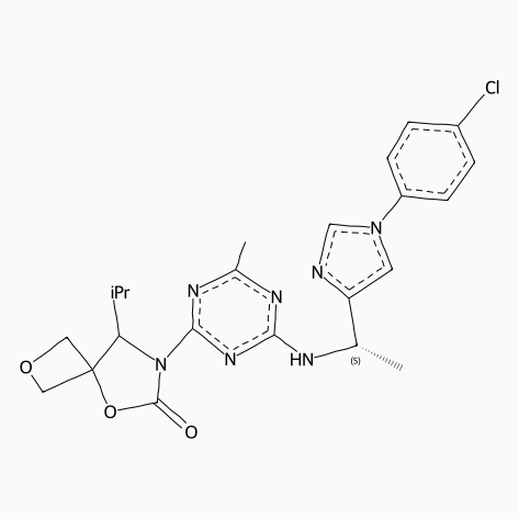 Cc1nc(N[C@@H](C)c2cn(-c3ccc(Cl)cc3)cn2)nc(N2C(=O)OC3(COC3)C2C(C)C)n1